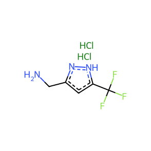 Cl.Cl.NCc1cc(C(F)(F)F)[nH]n1